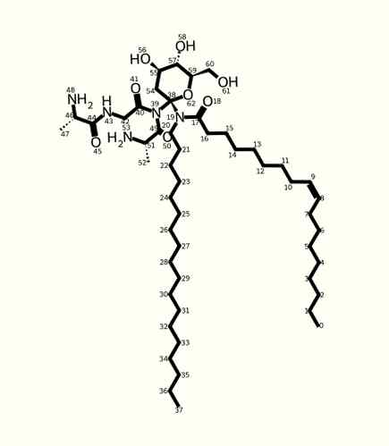 CCCCCCCC/C=C\CCCCCCCC(=O)N(CCCCCCCCCCCCCCCCCC)[C@@]1(N(C(=O)CNC(=O)[C@H](C)N)C(=O)[C@H](C)N)C[C@@H](O)[C@H](O)[C@@H](CO)O1